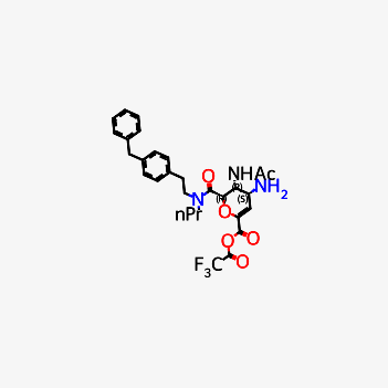 CCCN(CCc1ccc(Cc2ccccc2)cc1)C(=O)[C@@H]1OC(C(=O)OC(=O)C(F)(F)F)=C[C@H](N)[C@H]1NC(C)=O